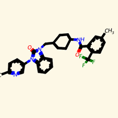 Cc1ccc(C(F)(F)F)c(C(=O)NC2CCC(Cn3c(=O)n(-c4ccc(C)nc4)c4ccccc43)CC2)c1